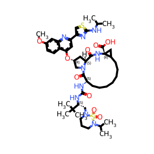 COc1ccc2c(O[C@@H]3C[C@H]4C(=O)N[C@]5(C(=O)O)CC5CCCCCCC[C@H](NC(=O)N[C@H](CN5CCCN(C(C)C)S5(=O)=O)C(C)(C)C)C(=O)N4C3)cc(-c3csc(NC(C)C)n3)nc2c1